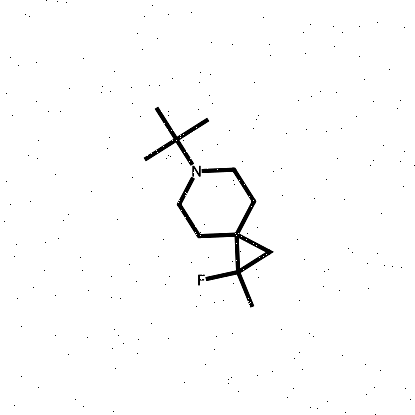 CC(C)(C)N1CCC2(CC1)CC2(C)F